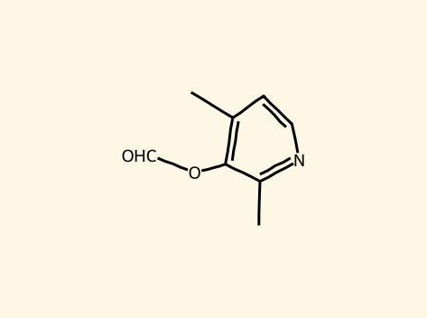 Cc1ccnc(C)c1OC=O